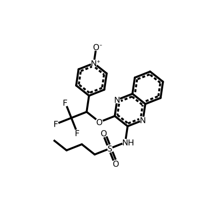 CCCCS(=O)(=O)Nc1nc2ccccc2nc1OC(c1cc[n+]([O-])cc1)C(F)(F)F